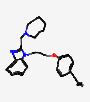 Cc1ccc(OCCn2c(CN3CCCCC3)nc3ccccc32)cc1